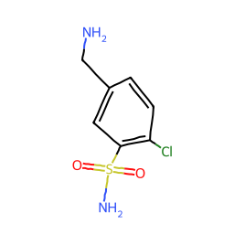 NCc1ccc(Cl)c(S(N)(=O)=O)c1